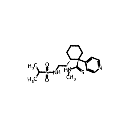 CNC(=S)[C@]1(c2ccncc2)CCCC[C@H]1CCNS(=O)(=O)C(C)C